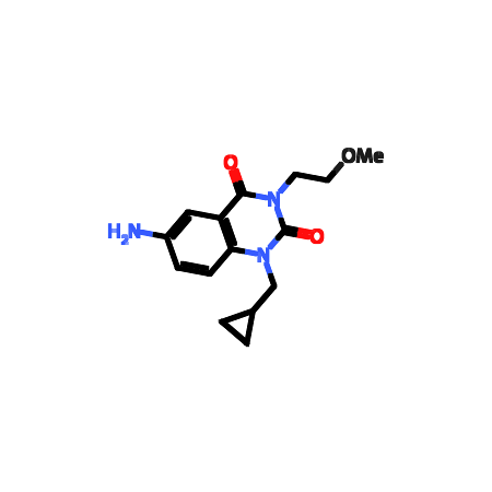 COCCn1c(=O)c2cc(N)ccc2n(CC2CC2)c1=O